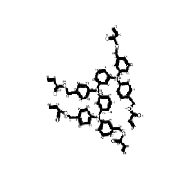 C=CC(=O)OCc1ccc(N(c2cccc(COC(=O)C=C)c2)c2cccc(N(c3ccc(COC(=O)C=C)cc3)c3cccc(N(c4ccc(COC(=O)C=C)cc4)c4cccc(COC(=O)C=C)c4)c3)c2)cc1